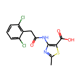 Cc1nc(NC(=O)Cc2c(Cl)cccc2Cl)c(C(=O)O)s1